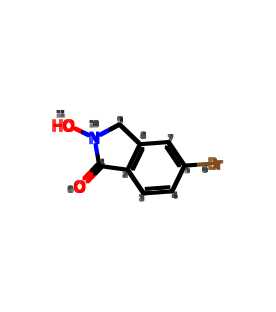 O=C1c2ccc(Br)cc2CN1O